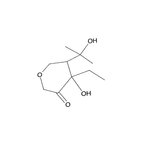 CCC1(O)C(=O)COCC1C(C)(C)O